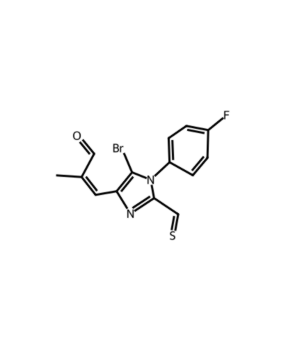 CC(C=O)=Cc1nc(C=S)n(-c2ccc(F)cc2)c1Br